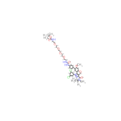 COc1cc2c(cc1-c1ccc(NC(=O)NCCOCCOCCOCCOCCNC(=O)OC(C)(C)C)cc1)-c1c(c(C(=O)N(C)C(C)(C)C)nn1-c1cc(Cl)cc(Cl)c1)CO2